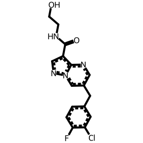 O=C(NCCO)c1cnn2cc(Cc3ccc(F)c(Cl)c3)cnc12